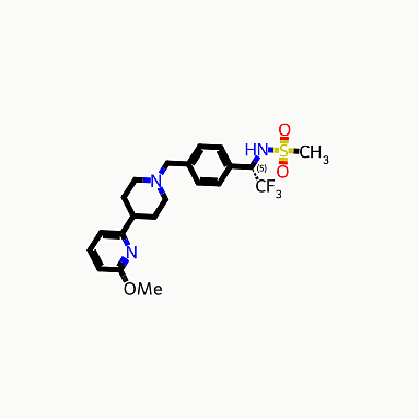 COc1cccc(C2CCN(Cc3ccc([C@H](NS(C)(=O)=O)C(F)(F)F)cc3)CC2)n1